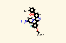 COCCOc1cc(F)cc(-c2cnc3ccc(-c4cccc(C#N)c4O)cc3c2N2CCC(N)CC2)c1